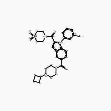 O=C(c1ccc2c(c1)cc(C(=O)N1CCS(=O)(=O)CC1)n2-c1cccc(F)c1)N1CCN(C2CCC2)CC1